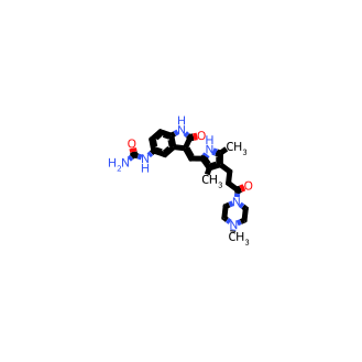 Cc1[nH]c(C=C2C(=O)Nc3ccc(NC(N)=O)cc32)c(C)c1CCC(=O)N1CCN(C)CC1